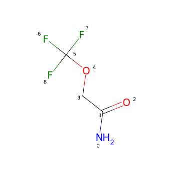 NC(=O)COC(F)(F)F